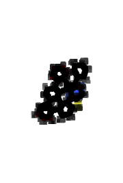 c1ccc(-c2ccc(-c3ccccc3)c(-c3c(-c4ccccc4)ccc4sc5ccccc5c34)c2-c2nnnc(-c3ccccc3)c2-c2ccccc2)cc1